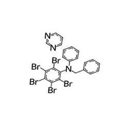 Brc1c(Br)c(Br)c(N(Cc2ccccc2)c2ccccc2)c(Br)c1Br.c1cncnc1